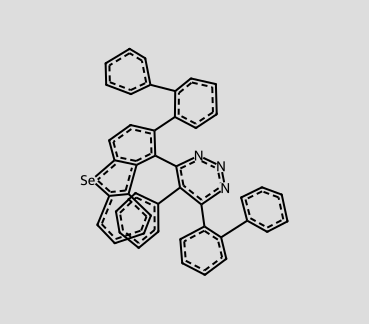 c1ccc(-c2ccccc2-c2ccc3[se]c4ccccc4c3c2-c2nnnc(-c3ccccc3-c3ccccc3)c2-c2ccccc2)cc1